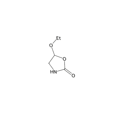 CCOC1CNC(=O)O1